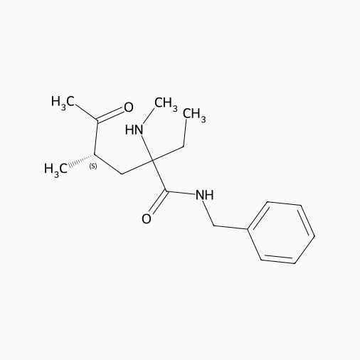 CCC(C[C@H](C)C(C)=O)(NC)C(=O)NCc1ccccc1